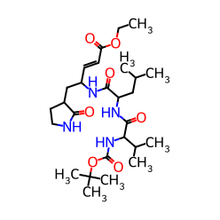 CCOC(=O)C=CC(CC1CCNC1=O)NC(=O)C(CC(C)C)NC(=O)C(NC(=O)OC(C)(C)C)C(C)C